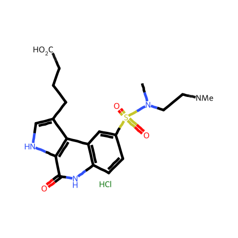 CNCCN(C)S(=O)(=O)c1ccc2[nH]c(=O)c3[nH]cc(CCCC(=O)O)c3c2c1.Cl